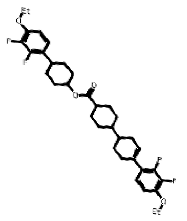 CCOc1ccc(C2=CCC(C3CCC(C(=O)OC4CCC(c5ccc(OCC)c(F)c5F)CC4)CC3)CC2)c(F)c1F